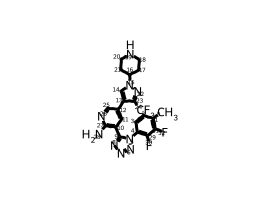 Cc1ccc(-n2nnnc2-c2cc(-c3cn(C4CCNCC4)nc3C(F)(F)F)cnc2N)c(F)c1F